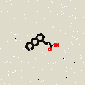 O=C(O)C=Cc1cccc2cc3ccccc3cc12